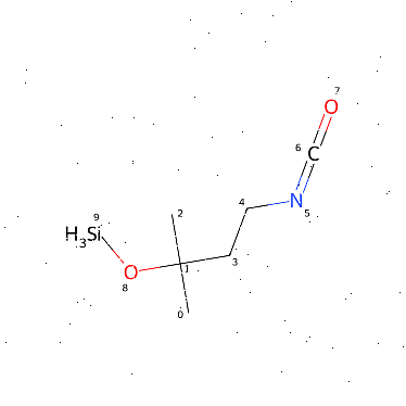 CC(C)(CCN=C=O)O[SiH3]